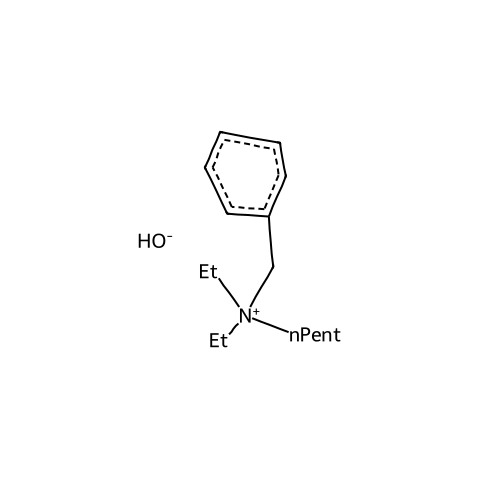 CCCCC[N+](CC)(CC)Cc1ccccc1.[OH-]